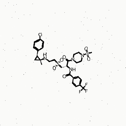 C[C@@]1(NCCS(=O)(=O)C[C@@H](NC(=O)c2ccc(C(F)(F)F)cc2)C(=O)N2CCN(S(C)(=O)=O)CC2)C[C@H]1c1ccc(Cl)cc1